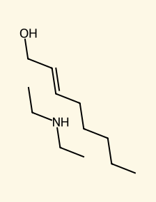 CCCCCC=CCO.CCNCC